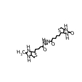 C=C1NC2CSC(CCCC(=O)NCNC(=O)CCCCC3SCC4NC(=O)NC43)C2N1